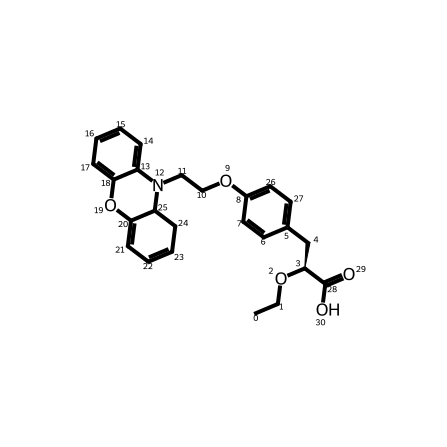 CCO[C@@H](Cc1ccc(OCCN2c3ccccc3OC3=CC=CCC32)cc1)C(=O)O